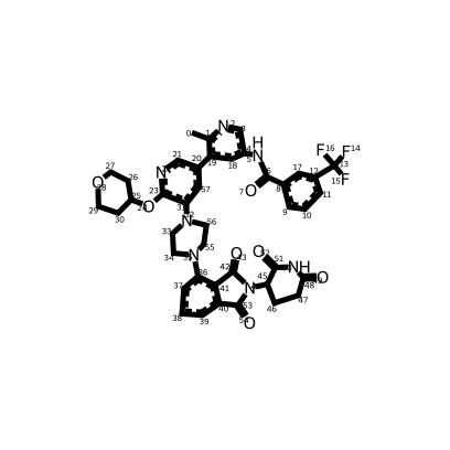 Cc1ncc(NC(=O)c2cccc(C(F)(F)F)c2)cc1-c1cnc(OC2CCOCC2)c(N2CCN(c3cccc4c3C(=O)N(C3CCC(=O)NC3=O)C4=O)CC2)c1